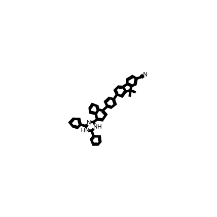 CC1(C)c2cc(C#N)ccc2-c2ccc(-c3ccc(-c4ccc(C5N=C(c6ccccc6)NC(c6ccccc6)N5)c5ccccc45)cc3)cc21